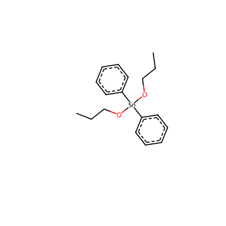 CCC[O][Sn]([O]CCC)([c]1ccccc1)[c]1ccccc1